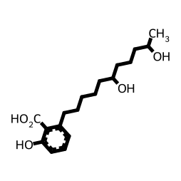 CC(O)CCCC(O)CCCCCc1cccc(O)c1C(=O)O